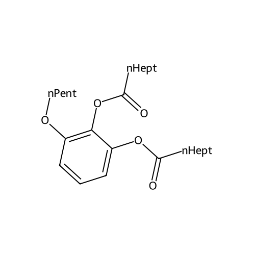 CCCCCCCC(=O)Oc1cccc(OCCCCC)c1OC(=O)CCCCCCC